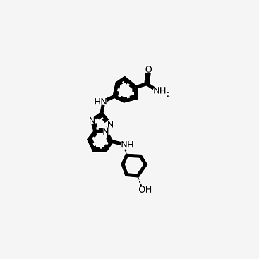 NC(=O)c1ccc(Nc2nc3cccc(N[C@H]4CC[C@@H](O)CC4)n3n2)cc1